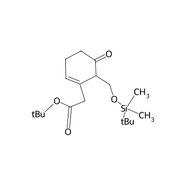 CC(C)(C)OC(=O)CC1=CCCC(=O)C1CO[Si](C)(C)C(C)(C)C